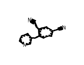 N#Cc1ccc(-c2c[c]cnc2)c(C#N)c1